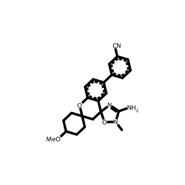 COC1CCC2(CC1)CC1(N=C(N)N(C)O1)c1cc(-c3cccc(C#N)c3)ccc1O2